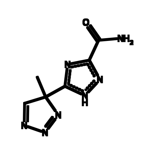 CC1(c2nc(C(N)=O)n[nH]2)C=NN=N1